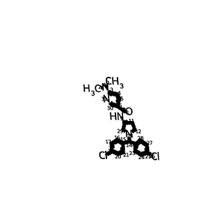 CN(C)c1ccc(C(=O)N[C@@H]2CCN(C(c3ccc(Cl)cc3)c3ccc(Cl)cc3)C2)cn1